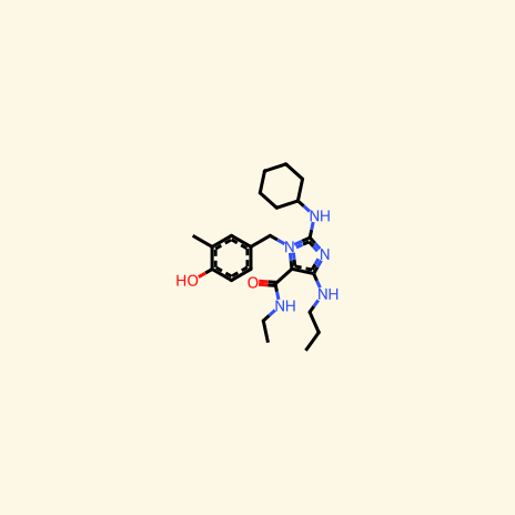 CCCNc1nc(NC2CCCCC2)n(Cc2ccc(O)c(C)c2)c1C(=O)NCC